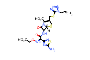 C=CCn1nnnc1SCC1=C(C(=O)O)N2C(=O)C(NC(=O)/C(=N\OCC(=O)O)c3nsc(N)n3)[C@H]2SC1